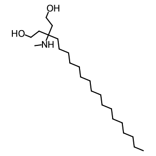 CCCCCCCCCCCCCCCCCC(CCO)(CCO)NC